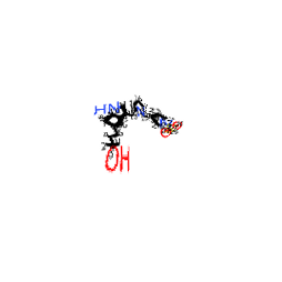 CC(C)(O)CCc1ccc2[nH]cc(C[C@H]3CCCN3C[C@H]3CCN(S(C)(=O)=O)C3)c2c1